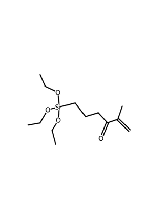 C=C(C)C(=O)CCC[Si](OCC)(OCC)OCC